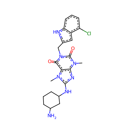 Cn1c(NC2CCCC(N)C2)nc2c1c(=O)n(Cc1cc3c(Cl)cccc3[nH]1)c(=O)n2C